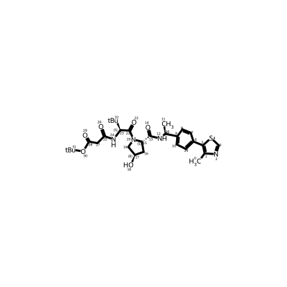 Cc1ncsc1-c1ccc([C@H](C)NC(=O)[C@@H]2C[C@@H](O)CN2C(=O)[C@@H](NC(=O)CC(=O)OC(C)(C)C)C(C)(C)C)cc1